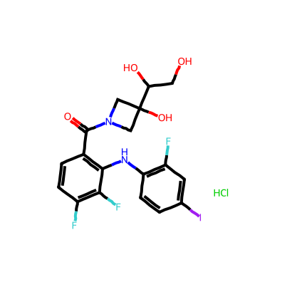 Cl.O=C(c1ccc(F)c(F)c1Nc1ccc(I)cc1F)N1CC(O)(C(O)CO)C1